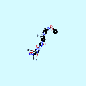 CC(Cc1ccc(-n2ccc(NC(=O)N3CCN(C(=O)C(C)(C)NC(=O)OC(C)(C)C)CC3)nc2=O)cc1)N1CCC2(CC1)CC2CNC(=O)OCc1ccccc1